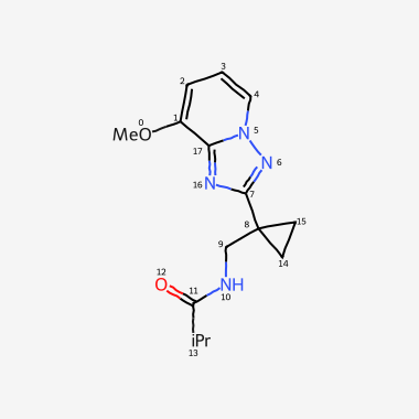 COc1cccn2nc(C3(CNC(=O)C(C)C)CC3)nc12